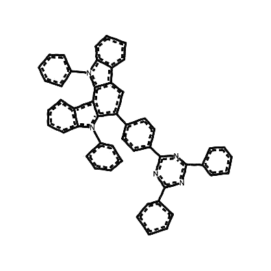 c1ccc(-c2nc(-c3ccccc3)nc(-c3ccc(-c4cc5c6ccccc6n(-c6ccccc6)c5c5c6ccccc6n(-c6ccccc6)c45)cc3)n2)cc1